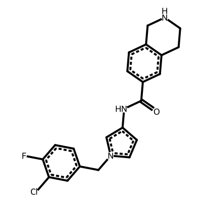 O=C(Nc1ccn(Cc2ccc(F)c(Cl)c2)c1)c1ccc2c(c1)CCNC2